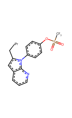 CC(C)Cc1cc2cccnc2n1-c1ccc(OS(=O)(=O)C(F)(F)F)cc1